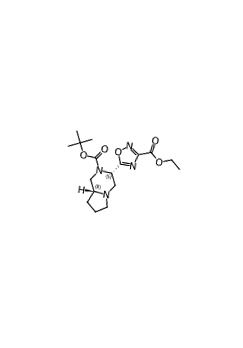 CCOC(=O)c1noc([C@@H]2CN3CCC[C@@H]3CN2C(=O)OC(C)(C)C)n1